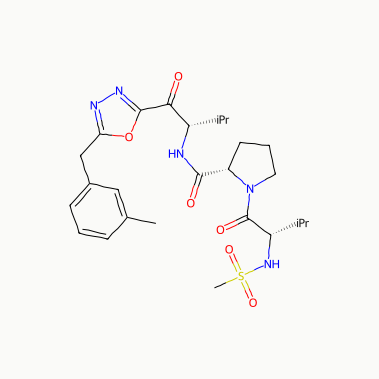 Cc1cccc(Cc2nnc(C(=O)[C@@H](NC(=O)[C@@H]3CCCN3C(=O)[C@@H](NS(C)(=O)=O)C(C)C)C(C)C)o2)c1